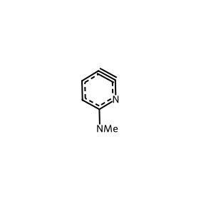 CNc1ccc#cn1